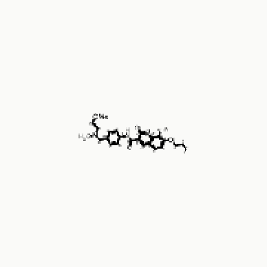 CCCc1c(OCCF)ccc2cc(C(=O)Nc3ccc(CN(C)CCOC)cc3)c(=O)oc12